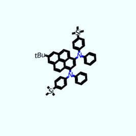 CC(C)(C)c1cc2ccc3c(N(c4ccccc4)c4ccc([Si](C)(C)C)cc4)cc(N(c4ccccc4)c4ccc([Si](C)(C)C)cc4)c4ccc(c1)c2c34